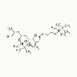 C=C1C[C@H](CCCO[Si](C)(C)C(C)(C)C)O[C@H]1CCC(CC(C)C=O)O[Si](C)(C)C(C)(C)C